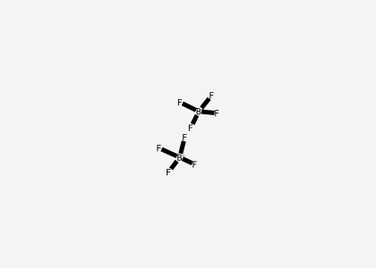 F[B-](F)(F)F.F[B-](F)(F)F